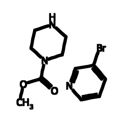 Brc1cccnc1.COC(=O)N1CCNCC1